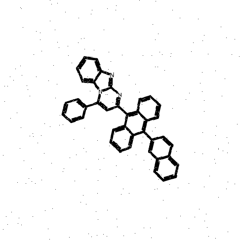 c1ccc(-c2cc(-c3c4ccccc4c(-c4ccc5ccccc5c4)c4ccccc34)nc3nc4ccccc4n23)cc1